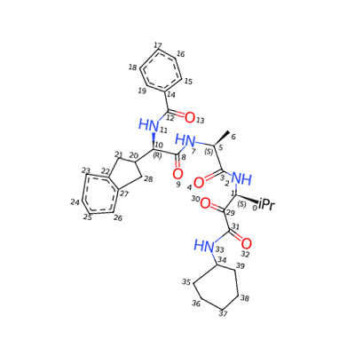 CC(C)[C@H](NC(=O)[C@H](C)NC(=O)[C@H](NC(=O)c1ccccc1)C1Cc2ccccc2C1)C(=O)C(=O)NC1CCCCC1